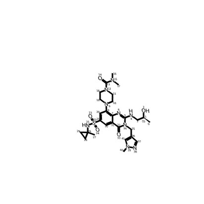 C[C@H](O)CNc1nc2c(N3CCN(C(=O)N(C)C)CC3)cc(S(=O)(=O)NC3(C)CC3)cc2c(=O)n1Cc1cnn(C)c1